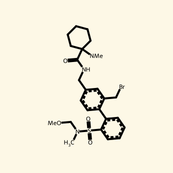 CNC1(C(=O)NCc2ccc(-c3ccccc3S(=O)(=O)N(C)COC)c(CBr)c2)CCCCC1